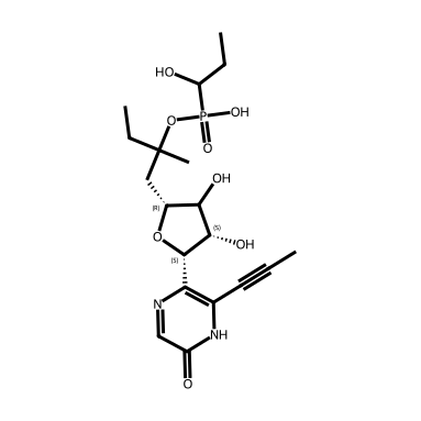 CC#Cc1[nH]c(=O)cnc1[C@@H]1O[C@H](CC(C)(CC)OP(=O)(O)C(O)CC)C(O)[C@@H]1O